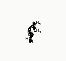 CCOc1cc(CN2CCC(Nc3nc4c(OC(=O)Nc5cccnc5)cccc4o3)CC2)cc(OCC)c1F